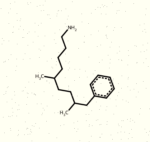 CC(CCCCN)CCC(C)Cc1ccccc1